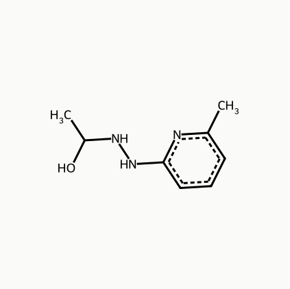 Cc1cccc(NNC(C)O)n1